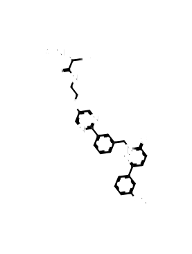 CC(=O)N[C@H](C(=O)NCCOc1cnc(-c2cccc(Cn3nc(-c4cccc(C#N)c4)ccc3=O)c2)nc1)C(C)C